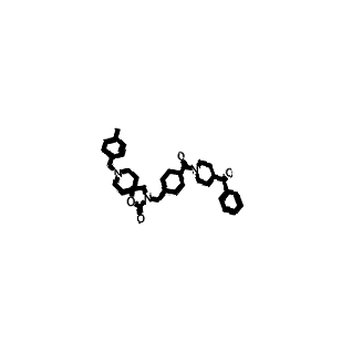 Cc1ccc(CN2CCC3(CC2)CN(CC2CCC(C(=O)N4CCC(C(=O)c5ccccc5)CC4)CC2)C(=O)O3)cc1